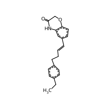 CCc1ccc(CCC=Cc2ccc3c(c2)NC(=O)CO3)cc1